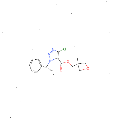 C[C@H](c1ccccc1)n1nnc(Cl)c1C(=O)OCC1(C)COC1